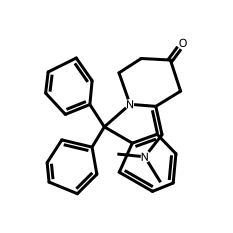 CN(C)/C=C1/CC(=O)CCN1C(c1ccccc1)(c1ccccc1)c1ccccc1